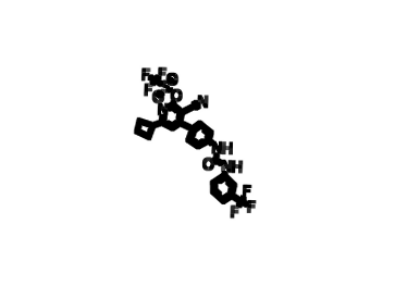 N#Cc1c(-c2ccc(NC(=O)Nc3cccc(C(F)(F)F)c3)cc2)cc(C2CCC2)nc1OS(=O)(=O)C(F)(F)F